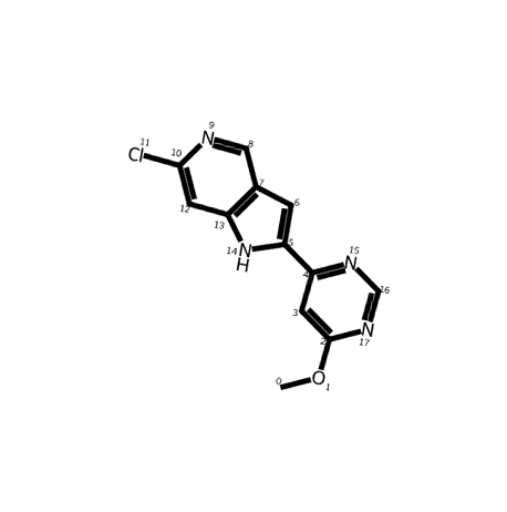 COc1cc(-c2cc3cnc(Cl)cc3[nH]2)ncn1